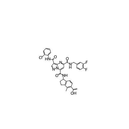 C=C(O)c1ccc2c(c1C)CCC2NC(=O)c1cc(C(=O)NCc2ccc(F)c(F)c2)nc2c(C(=O)Nc3ccccc3Cl)cnn12